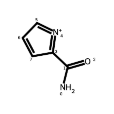 NC(=O)C1=[N+]=CC=C1